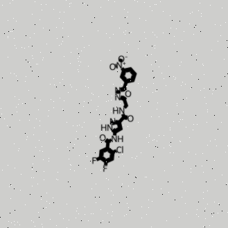 O=C(NCc1nnc(-c2cccc([N+](=O)[O-])c2)o1)c1cc(NC(=O)c2cc(F)c(F)cc2Cl)[nH]n1